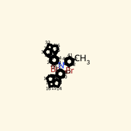 Cc1ccc(N(c2cc3c(cc2Br)C2CC4CC5CC3CC45C2)c2cc3c(cc2Br)C2CC4CC5CC3CC45C2)cc1